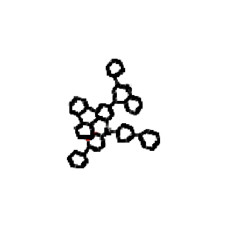 c1ccc(-c2ccc(N(c3ccc(-c4ccccc4)cc3)c3cc(-c4cc(-c5ccccc5)nc5ccccc45)cc4c5ccccc5c5ccccc5c34)cc2)cc1